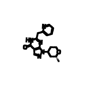 C[C@@H]1CC(n2ncc3c(=O)[nH]c(Cc4ccccn4)nc32)CCO1